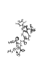 C[C@H]1CN(C[C@H](CC(=O)N2CCc3c(nc(-c4ccccc4)nc3C(F)(F)F)C2)NC(=O)O)C(=O)CO1